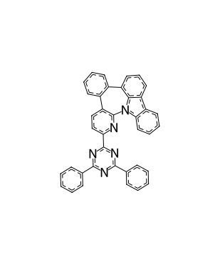 c1ccc(-c2nc(-c3ccccc3)nc(-c3ccc4c(n3)-n3c5ccccc5c5cccc(c53)-c3ccccc3-4)n2)cc1